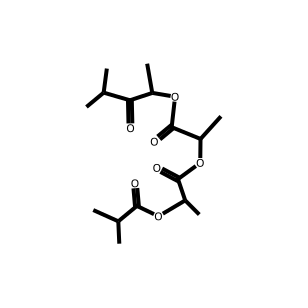 CC(C)C(=O)OC(C)C(=O)OC(C)C(=O)OC(C)C(=O)C(C)C